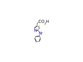 CN(c1ccccc1)c1ncc(CC(=O)O)s1